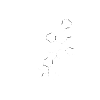 COc1cc2c(cc1C(C)NC1C3CCC=C3N(C(=O)Oc3ccccc3)C1c1ccccc1)C(C)(C)C(=O)N2